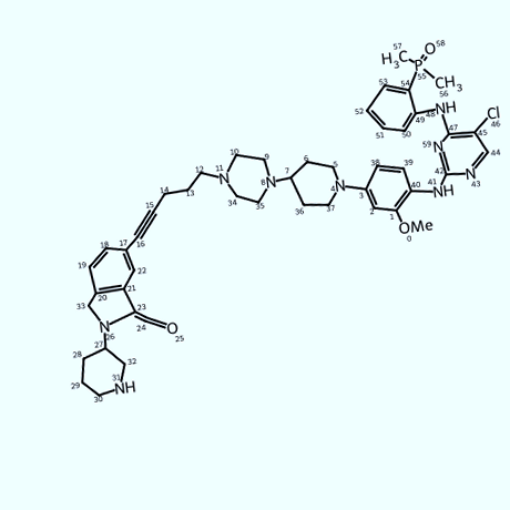 COc1cc(N2CCC(N3CCN(CCCC#Cc4ccc5c(c4)C(=C=O)N(C4CCCNC4)C5)CC3)CC2)ccc1Nc1ncc(Cl)c(Nc2ccccc2P(C)(C)=O)n1